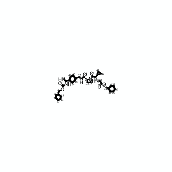 N=C(NC(=O)OCc1ccccc1)c1ccc(CNC(=O)[C@@H]2CCN2C(=O)[C@H](NCC(=O)OCc2ccccc2)C2CC2)cc1